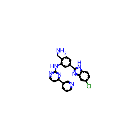 NCc1ccc(-c2nc3cc(Cl)ccc3[nH]2)cc1Nc1nccc(-c2cccnc2)n1